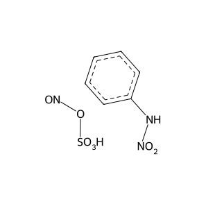 O=NOS(=O)(=O)O.O=[N+]([O-])Nc1ccccc1